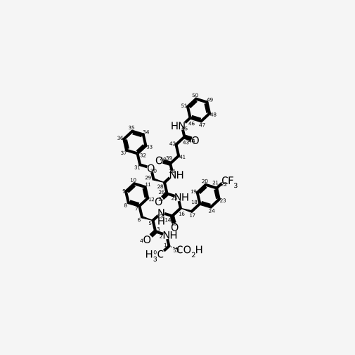 C[C@H](NC(=O)[C@@H](Cc1ccccc1)NC(=O)[C@H](Cc1ccc(C(F)(F)F)cc1)NC(=O)[C@@H](COCc1ccccc1)NC(=O)CCC(=O)Nc1ccccc1)C(=O)O